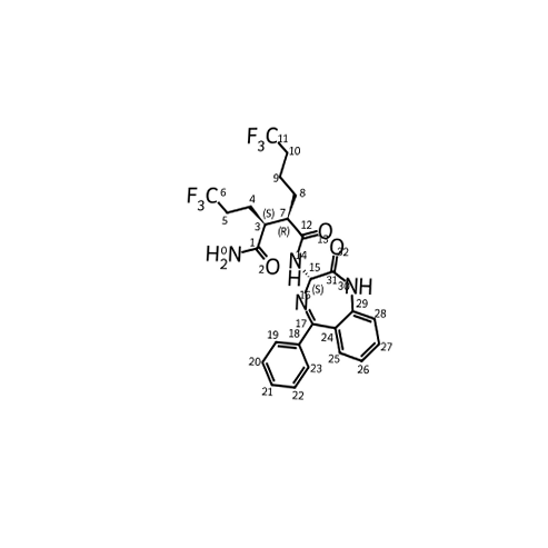 NC(=O)[C@@H](CCC(F)(F)F)[C@@H](CCCC(F)(F)F)C(=O)N[C@H]1N=C(c2ccccc2)c2ccccc2NC1=O